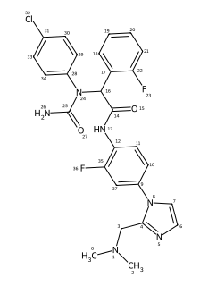 CN(C)Cc1nccn1-c1ccc(NC(=O)C(c2ccccc2F)N(C(N)=O)c2ccc(Cl)cc2)c(F)c1